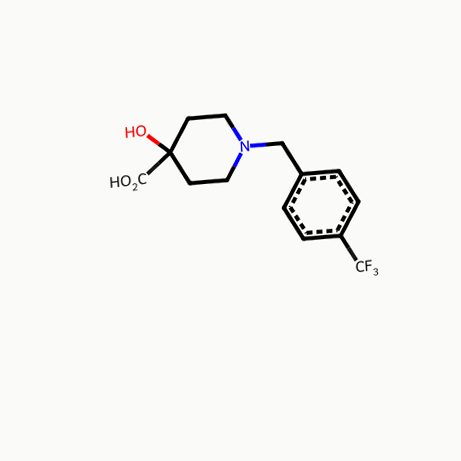 O=C(O)C1(O)CCN(Cc2ccc(C(F)(F)F)cc2)CC1